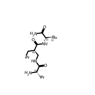 CC[C@H](C)[C@H](NC(=O)[C@@H](CNC(=O)[C@@H](N)C(C)C)CC(C)C)C(N)=O